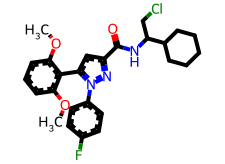 COc1cccc(OC)c1-c1cc(C(=O)NC(CCl)C2CCCCC2)nn1-c1ccc(F)cc1